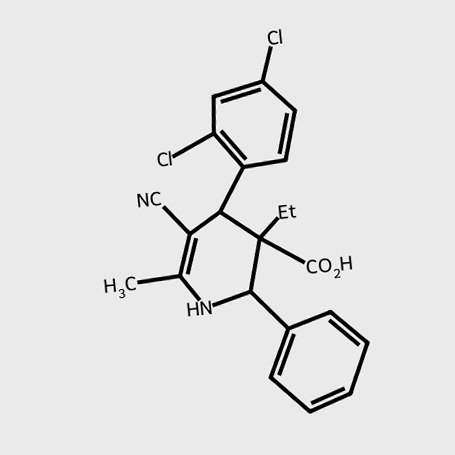 CCC1(C(=O)O)C(c2ccccc2)NC(C)=C(C#N)C1c1ccc(Cl)cc1Cl